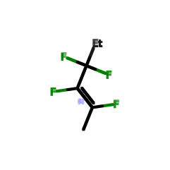 CCC(F)(F)/C(F)=C(/C)F